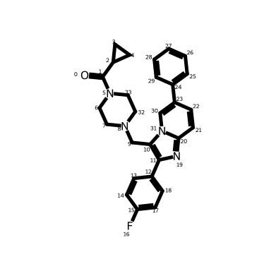 O=C(C1CC1)N1CCN(Cc2c(-c3ccc(F)cc3)nc3ccc(-c4ccccc4)cn23)CC1